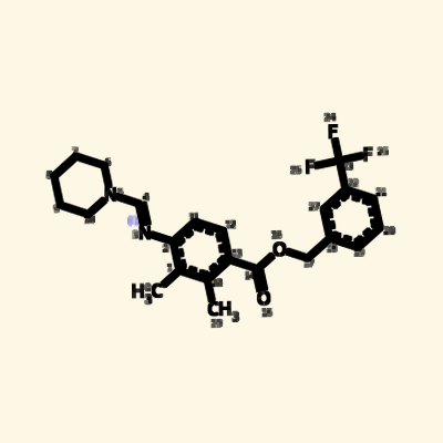 Cc1c(/N=C/N2CCCCC2)ccc(C(=O)OCc2cccc(C(F)(F)F)c2)c1C